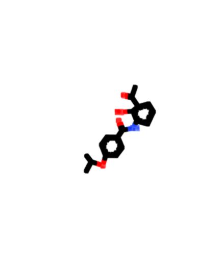 CC(=O)c1cccc(NC(=O)c2ccc(OC(C)C)cc2)c1O